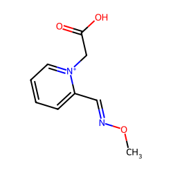 CO/N=C/c1cccc[n+]1CC(=O)O